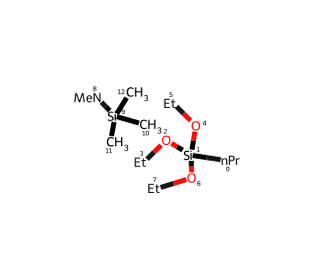 CCC[Si](OCC)(OCC)OCC.CN[Si](C)(C)C